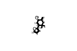 C=C1CC(C)(C)C(c2ccco2)=CC1=O